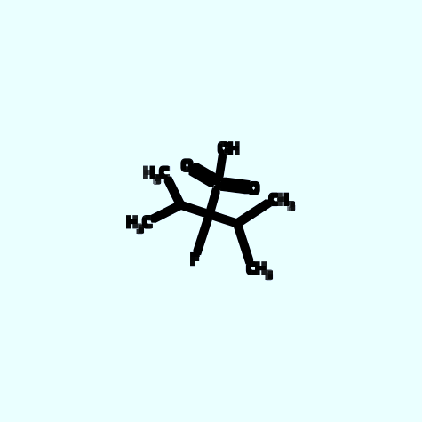 CC(C)C(F)(C(C)C)S(=O)(=O)O